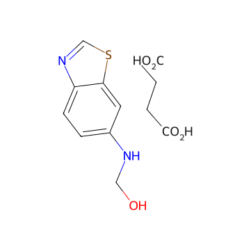 O=C(O)CCC(=O)O.OCNc1ccc2ncsc2c1